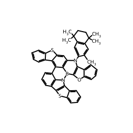 Cc1cc2c(cc1N1c3cc4sc5ccccc5c4c4c3B(c3oc5ccccc5c31)n1c3c-4cccc3c3sc4ccccc4c31)C(C)(C)CCC2(C)C